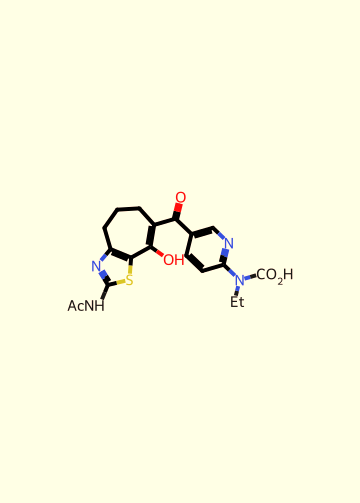 CCN(C(=O)O)c1ccc(C(=O)C2=C(O)c3sc(NC(C)=O)nc3CCC2)cn1